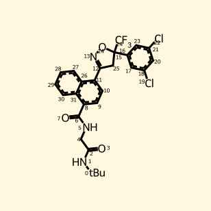 CC(C)(C)NC(=O)CNC(=O)c1ccc(C2=NOC(c3cc(Cl)cc(Cl)c3)(C(F)(F)F)C2)c2ccccc12